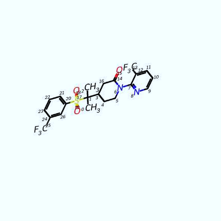 CC(C)(C1CCN(c2ncccc2C(F)(F)F)C(=O)C1)S(=O)(=O)c1cccc(C(F)(F)F)c1